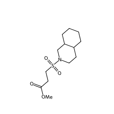 COC(=O)CCS(=O)(=O)N1CCC2CCCCC2C1